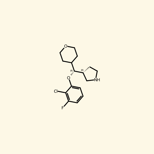 Fc1cccc(O[C@H](C2CCOCC2)[C@@H]2CCNC2)c1Cl